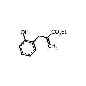 C=C(Cc1ccccc1O)C(=O)OCC